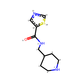 O=C(NCC1CCNCC1)c1cncs1